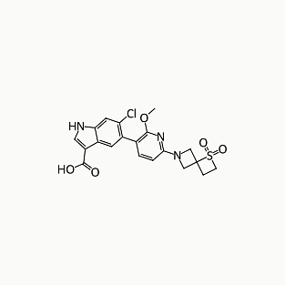 COc1nc(N2CC3(CCS3(=O)=O)C2)ccc1-c1cc2c(C(=O)O)c[nH]c2cc1Cl